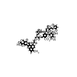 CC[C@]1(O)C(=O)OCc2c1cc1n(c2=O)Cc2c-1nc1cc(F)c(C)c3c1c2C(NC(=O)COCN(CCS(C)(=O)=O)C(=O)OCc1ccc(O[C@@H]2OC(C(=O)O)[C@H](O)C(O)C2O)c(NC(=O)CN(C)C(=O)CCN2C(=O)C=CC2=O)c1)CC3